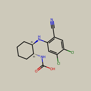 N#Cc1cc(Cl)c(Cl)cc1N[C@@H]1CCCC[C@H]1NC(=O)O